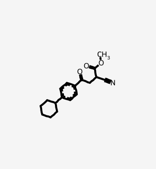 COC(=O)C(C#N)CC(=O)c1ccc(C2CCCCC2)cc1